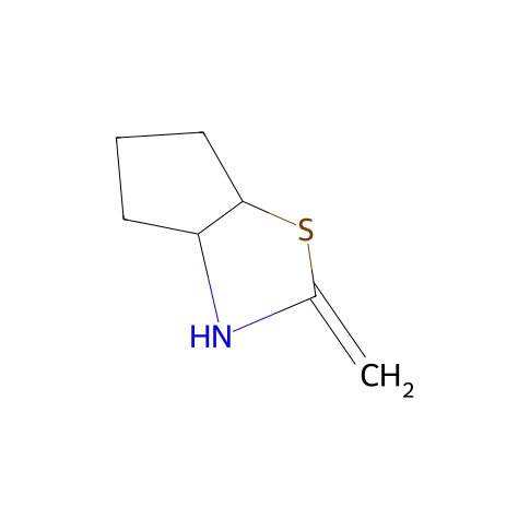 C=C1NC2CCCC2S1